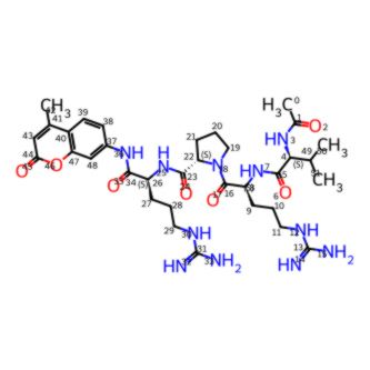 CC(=O)N[C@H](C(=O)N[C@@H](CCCNC(=N)N)C(=O)N1CCC[C@H]1C(=O)N[C@@H](CCCNC(=N)N)C(=O)Nc1ccc2c(C)cc(=O)oc2c1)C(C)C